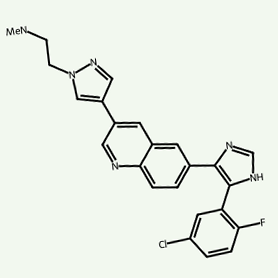 CNCCn1cc(-c2cnc3ccc(-c4nc[nH]c4-c4cc(Cl)ccc4F)cc3c2)cn1